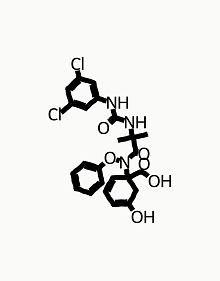 CC(C)(NC(=O)Nc1cc(Cl)cc(Cl)c1)C(=O)N(Oc1ccccc1)C1(C(=O)O)C=CC=C(O)C1